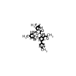 CC(=O)c1nn(CC(=O)N2[C@H](C(=O)Nc3cc(C)cc(Br)n3)C[C@]3(C)C[C@@H]23)c2c(C)nc(-c3cnc(C)nc3)cc12